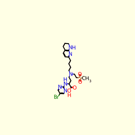 CS(=O)(=O)CCN(CCCCc1ccc2c(n1)NCCC2)CCC(Nc1ncc(Br)cn1)C(=O)O